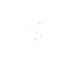 Fc1cc(Br)cc2c1CN1C(=N2)C2CCC1C2